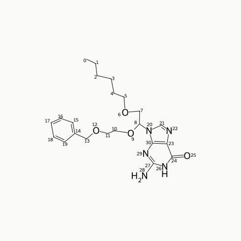 CCCCCCOCC(OCCOCc1ccccc1)n1cnc2c(=O)[nH]c(N)nc21